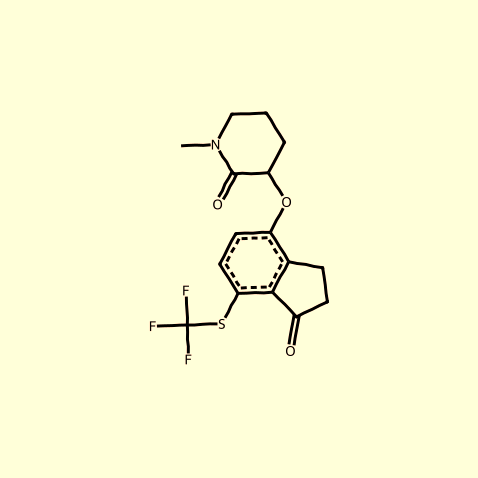 CN1CCCC(Oc2ccc(SC(F)(F)F)c3c2CCC3=O)C1=O